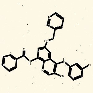 N#Cc1cnc2c(NC(=O)c3ccccc3)cc(NCc3cccnc3)cc2c1Nc1cccc(Cl)c1